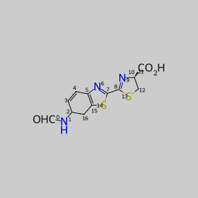 O=CNC1C=Cc2nc(C3=N[C@@H](C(=O)O)CS3)sc2C1